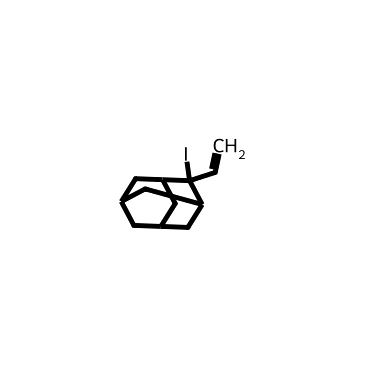 C=CC1(I)C2CC3CC(C2)CC1C3